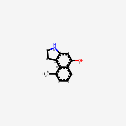 Cc1cccc2c(O)cc3c(c12)CCN3